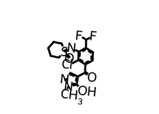 Cn1ncc(C(=O)c2ccc(C(F)F)c(N=S3(=O)CCCCC3)c2Cl)c1O